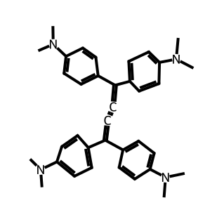 CN(C)c1ccc(C(=C=C=C(c2ccc(N(C)C)cc2)c2ccc(N(C)C)cc2)c2ccc(N(C)C)cc2)cc1